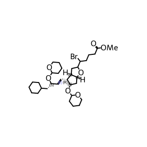 COC(=O)CCCC(Br)C1C[C@@H]2[C@@H](/C=C/[C@H](CC3CCCCC3)OC3CCCCO3)[C@H](OC3CCCCO3)C[C@H]2O1